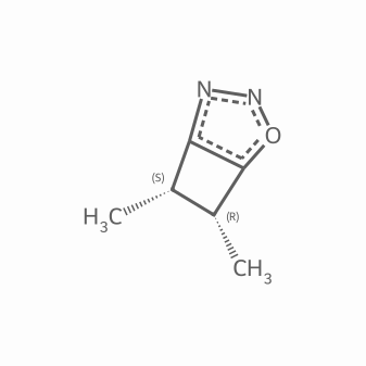 C[C@@H]1c2nnoc2[C@@H]1C